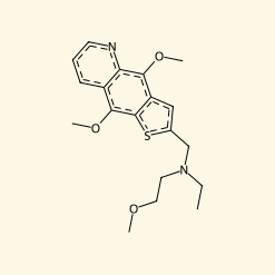 CCN(CCOC)Cc1cc2c(OC)c3ncccc3c(OC)c2s1